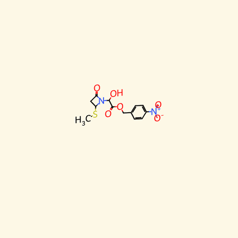 CSC1CC(=O)N1C(O)C(=O)OCc1ccc([N+](=O)[O-])cc1